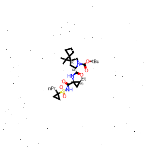 CCCC1(S(=O)(=O)NC(=O)[C@@]2(NC(=O)[C@@H]3C[C@@]4(CN3C(=O)OC(C)(C)C)C(C)(C)C43CCC3)C[C@H]2CC)CC1